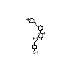 Oc1ccc(CCNc2ncc(F)c(-c3cccc(CCC4CCNCC4)c3)n2)cc1